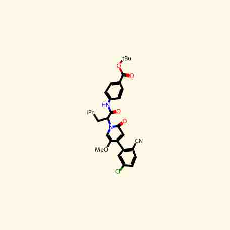 COc1cn(C(CC(C)C)C(=O)Nc2ccc(C(=O)OC(C)(C)C)cc2)c(=O)cc1-c1cc(Cl)ccc1C#N